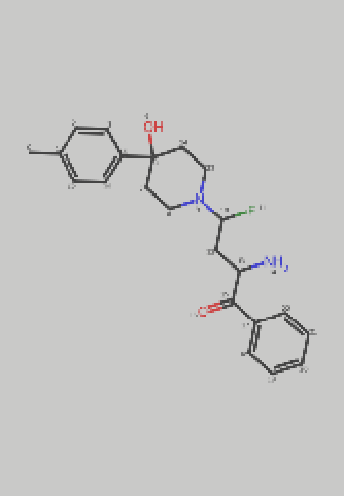 Cc1ccc(C2(O)CCN(C(F)CC(N)C(=O)c3ccccc3)CC2)cc1